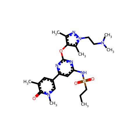 CCCS(=O)(=O)Nc1cc(-c2cc(C)c(=O)n(C)c2)nc(Oc2c(C)nn(CCN(C)C)c2C)n1